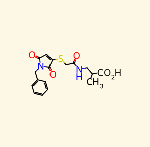 CC(CNC(=O)CSC1=CC(=O)N(Cc2ccccc2)C1=O)C(=O)O